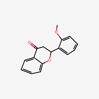 COc1ccccc1C1CC(=O)c2ccccc2O1